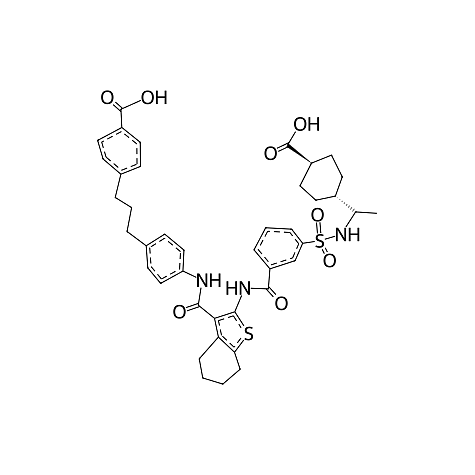 CC(NS(=O)(=O)c1cccc(C(=O)Nc2sc3c(c2C(=O)Nc2ccc(CCCc4ccc(C(=O)O)cc4)cc2)CCCC3)c1)[C@H]1CC[C@H](C(=O)O)CC1